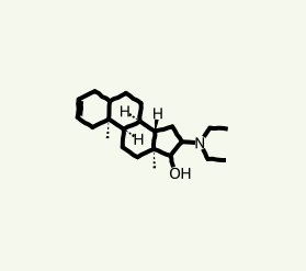 CCN(CC)C1C[C@H]2[C@@H]3CCC4CC=CC[C@]4(C)[C@@H]3CC[C@]2(C)C1O